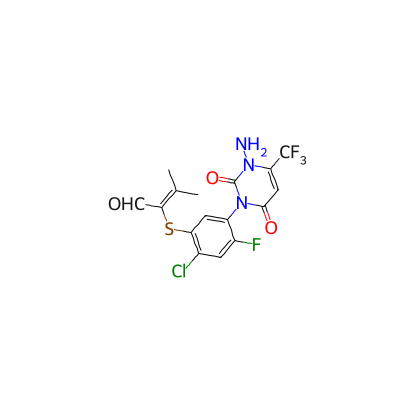 CC(C)=C(C=O)Sc1cc(-n2c(=O)cc(C(F)(F)F)n(N)c2=O)c(F)cc1Cl